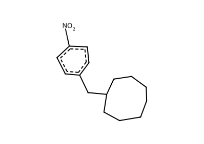 O=[N+]([O-])c1ccc(CC2CCCCCCC2)cc1